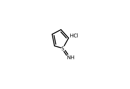 Cl.N=S1C=CC=C1